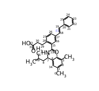 Cc1cc(C)cc(C(CC(C)C)NC(=O)c2cc(/C=C/c3ccccc3)ccc2CCC(=O)O)c1